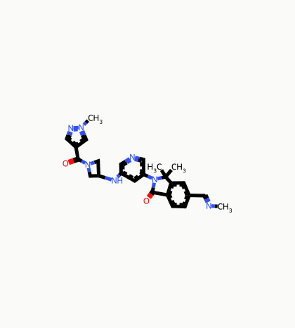 C/N=C/c1ccc2c(c1)C(C)(C)N(c1cncc(NC3CN(C(=O)c4cnn(C)c4)C3)c1)C2=O